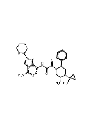 CC1CN(C(=O)C(=O)Nc2cnc(N)c3cn(C4CCCCO4)nc23)C(c2ccccc2)CN1C1(C)CC1